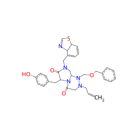 C=CCN1CC(=O)N2C(Cc3ccc(O)cc3)C(=O)N(CC3=CC=CC4SC=NC34)CC2N1COCc1ccccc1